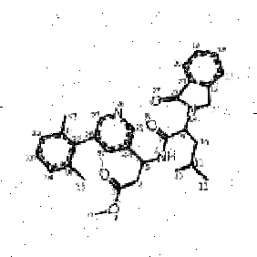 COC(=O)CC(NC(=O)C(CC(C)C)N1Cc2ccccc2C1=O)c1cncc(-c2c(C)cccc2C)c1